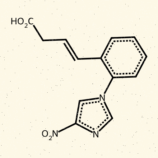 O=C(O)CC=Cc1ccccc1-n1cnc([N+](=O)[O-])c1